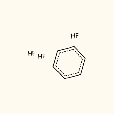 F.F.F.c1ccccc1